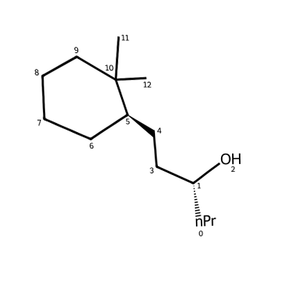 CCC[C@@H](O)CC[C@H]1CCCCC1(C)C